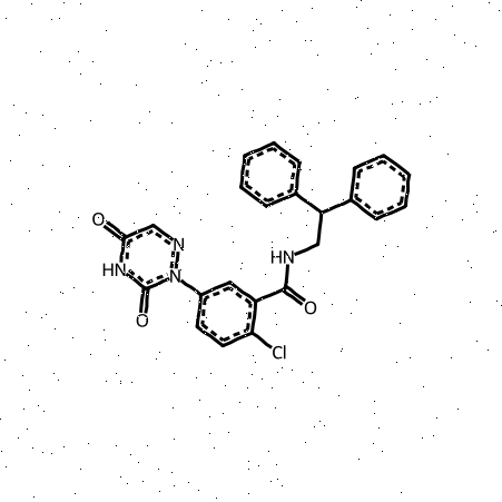 O=C(NCC(c1ccccc1)c1ccccc1)c1cc(-n2ncc(=O)[nH]c2=O)ccc1Cl